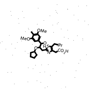 COc1cc(C(O)C(Cc2nc(CC(=O)O)c(CC(C)C)s2)OC2CCCC2)cc(OC)c1C